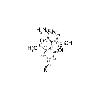 CC(Oc1cc(B(O)O)cnc1N)c1cccc(C#N)c1